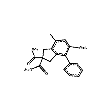 CCCCCc1cc(C)c2c(c1-c1ccccc1)CC(C(=O)OC)(C(=O)OC)C2